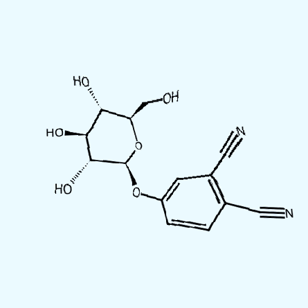 N#Cc1ccc(O[C@@H]2O[C@H](CO)[C@@H](O)[C@H](O)[C@H]2O)cc1C#N